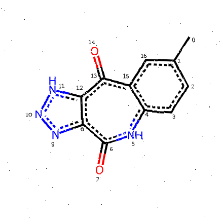 Cc1ccc2[nH]c(=O)c3nn[nH]c3c(=O)c2c1